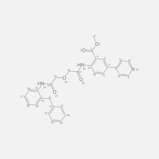 COC(=O)c1cc(-c2ccncc2)ccc1NC(=O)COCC(=O)Nc1ccccc1Cc1ccccc1